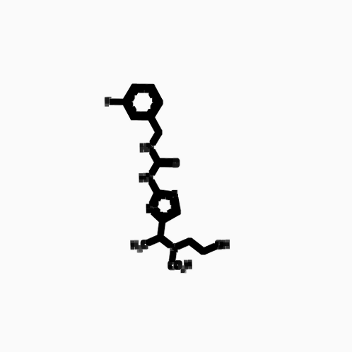 CC(c1csc(NC(=O)NCc2cccc(F)c2)n1)N(CCO)C(=O)O